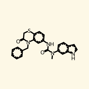 CN(C(=O)Nc1ccc2c(c1)N(Cc1ccccc1)C(=O)CS2)c1ccc2cc[nH]c2c1